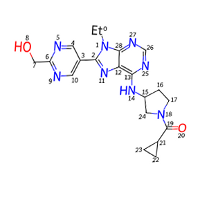 CCn1c(-c2cnc(CO)nc2)nc2c(NC3CCN(C(=O)C4CC4)C3)ncnc21